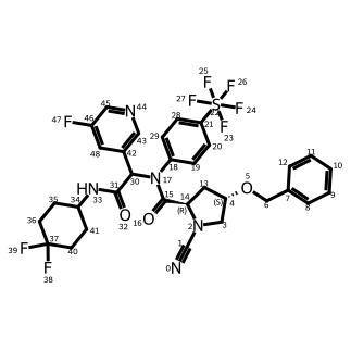 N#CN1C[C@@H](OCc2ccccc2)C[C@@H]1C(=O)N(c1ccc(S(F)(F)(F)(F)F)cc1)C(C(=O)NC1CCC(F)(F)CC1)c1cncc(F)c1